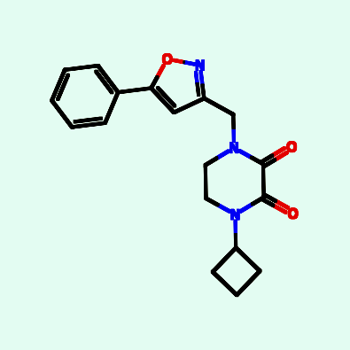 O=C1C(=O)N(C2CCC2)CCN1Cc1cc(-c2ccccc2)on1